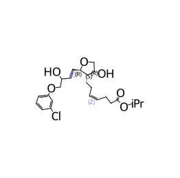 CC(C)OC(=O)CC/C=C\CC[C@H]1[C@@H](O)CO[C@@H]1/C=C/C(O)COc1cccc(Cl)c1